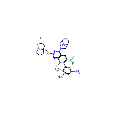 Cc1cc(N)nc(-c2c(C(F)F)cc3c(N4CC5CCC(C4)N5)nc(OC[C@@]45CCCN4C[C@H](F)C5)nc3c2F)c1C(F)(F)F